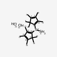 CC1=C(C)C(C)(C)[C]([Ti]([SiH3])[C]2=C(C)C(C)=C(C)C2(C)C)=C1C.Cl.Cl